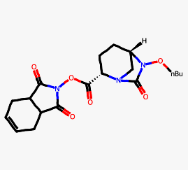 CCCCON1C(=O)N2C[C@@H]1CC[C@H]2C(=O)ON1C(=O)C2CC=CCC2C1=O